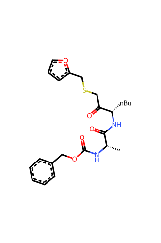 CCCC[C@H](NC(=O)[C@H](C)NC(=O)OCc1ccccc1)C(=O)CSCc1ccco1